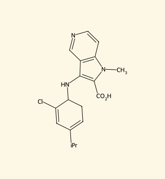 CC(C)C1=CCC(Nc2c(C(=O)O)n(C)c3ccncc23)C(Cl)=C1